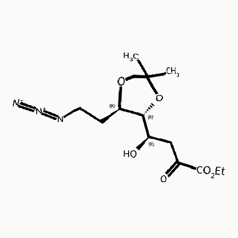 CCOC(=O)C(=O)C[C@@H](O)[C@H]1OC(C)(C)O[C@@H]1CCN=[N+]=[N-]